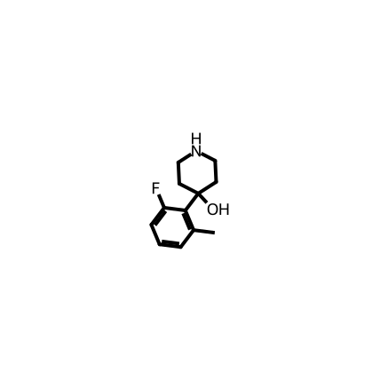 Cc1cccc(F)c1C1(O)CCNCC1